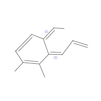 C=C/C=c1/c(C)c(C)cc/c1=C/C